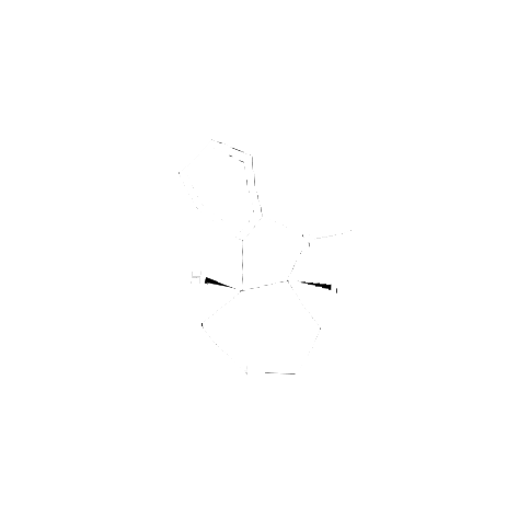 CN1c2ccccc2[C@H]2CNCC[C@H]21